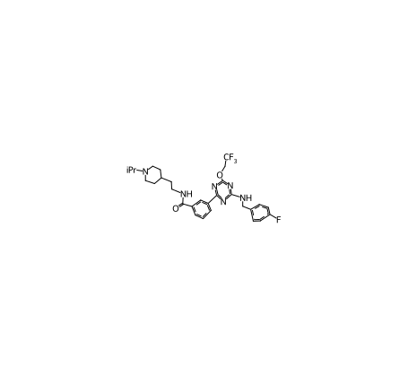 CC(C)N1CCC(CCNC(=O)c2cccc(-c3nc(NCc4ccc(F)cc4)nc(OCC(F)(F)F)n3)c2)CC1